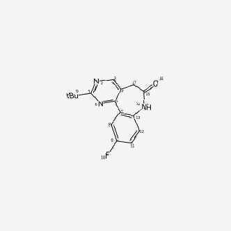 CC(C)(C)c1ncc2c(n1)-c1cc(F)ccc1NC(=O)C2